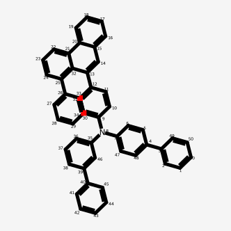 c1ccc(-c2ccc(N(c3ccc(-c4cc5ccccc5c5cccc(-c6ccccc6)c45)cc3)c3cccc(-c4ccccc4)c3)cc2)cc1